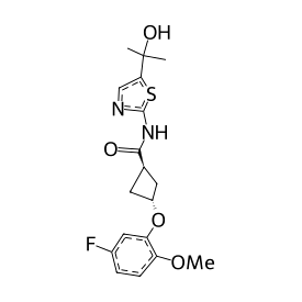 COc1ccc(F)cc1O[C@H]1C[C@H](C(=O)Nc2ncc(C(C)(C)O)s2)C1